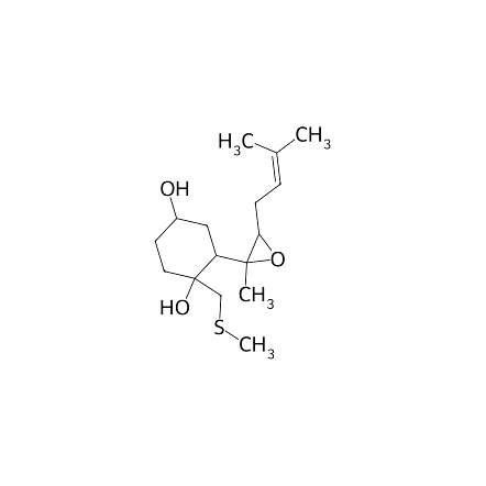 CSCC1(O)CCC(O)CC1C1(C)OC1CC=C(C)C